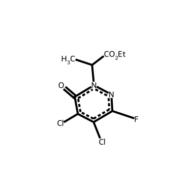 CCOC(=O)C(C)n1nc(F)c(Cl)c(Cl)c1=O